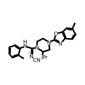 Cc1ccc2nc(N3CCN(/C(=N\C#N)Nc4ccccc4C)C(C(C)C)C3)oc2c1